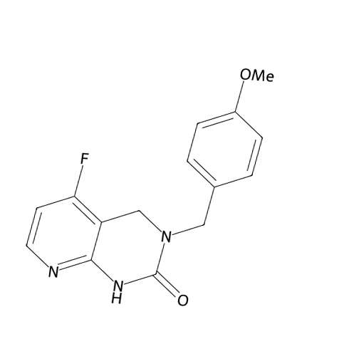 COc1ccc(CN2Cc3c(F)ccnc3NC2=O)cc1